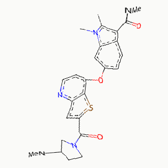 CNC(=O)c1c(C)n(C)c2cc(Oc3ccnc4cc(C(=O)N5CCC(NC)C5)sc34)ccc12